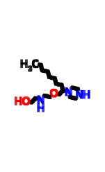 CCCCCCCCC(COCCNCCO)N1CCNCC1